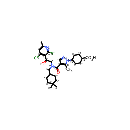 Cc1cc(Cl)c(C(=O)CN(CC2CCC(C)(C)CC2)C(=O)c2cnn(C3CCC(C(=O)O)CC3)c2C(F)(F)F)c(Cl)n1